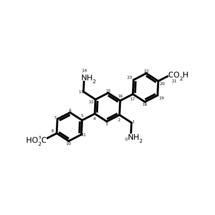 NCc1cc(-c2ccc(C(=O)O)cc2)c(CN)cc1-c1ccc(C(=O)O)cc1